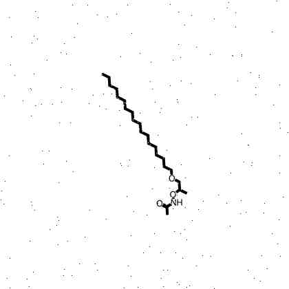 CCCCCCCCCCCCCCCCCCOCC(C)ONC(C)=O